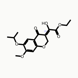 CCOC(=O)/C(O)=C1\COc2cc(OC)c(OC(C)C)cc2C1=O